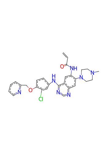 C=CC(=O)Nc1cc2c(Nc3ccc(OCc4ccccn4)c(Cl)c3)ncnc2cc1N1CCN(C)CC1